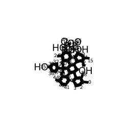 Cc1cccc(-c2c(O)c(-c3cccc(C)c3C)c(-c3cccc(C)c3C)c(C(C)(C)c3ccc(O)cc3)c2-c2cccc(C)c2C)c1C.O=P(O)(O)OP(=O)(O)O